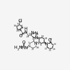 NC(=O)NC1CCN(c2cc(-n3ccccc3=O)ccc2-n2cc(CNC(=O)c3ccc(Cl)s3)nn2)CC1